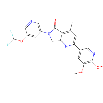 COc1cc(-c2cc(C)c3c(n2)CN(c2cncc(OC(F)F)c2)C3=O)cnc1OC